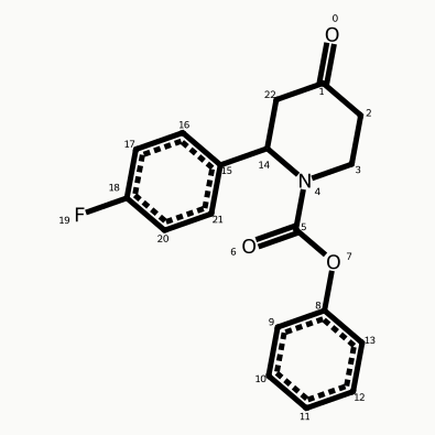 O=C1CCN(C(=O)Oc2ccccc2)C(c2ccc(F)cc2)C1